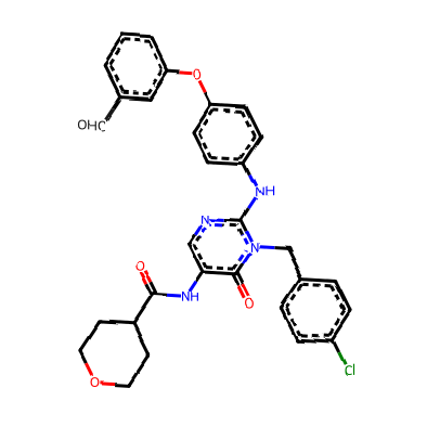 O=Cc1cccc(Oc2ccc(Nc3ncc(NC(=O)C4CCOCC4)c(=O)n3Cc3ccc(Cl)cc3)cc2)c1